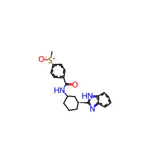 C[S+]([O-])c1ccc(C(=O)NC2CCC[C@H](c3nc4ccccc4[nH]3)C2)cc1